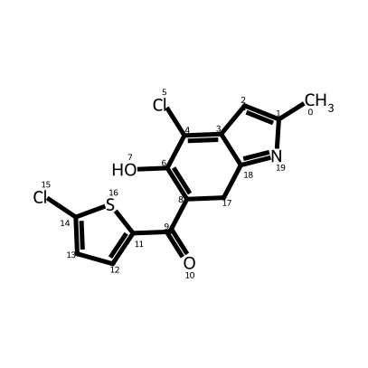 CC1=[C]C2=C(Cl)C(O)=C(C(=O)c3ccc(Cl)s3)CC2=N1